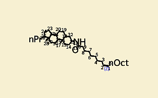 CCCCCCCC/C=C\CCCCCCCC(=O)NC1CCC2(C)C(CCC3C4CCC(CCC)C4(C)CCC32)C1